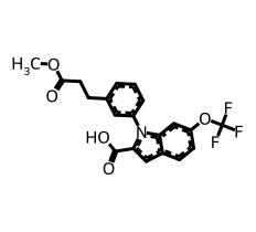 COC(=O)CCc1cccc(-n2c(C(=O)O)cc3ccc(OC(F)(F)F)cc32)c1